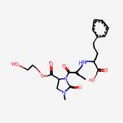 CC(NC(CCc1ccccc1)C(=O)O)C(=O)N1C(=O)N(C)CC1C(=O)OCCO